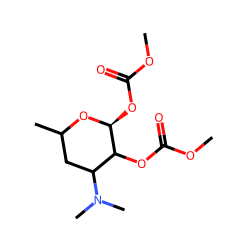 COC(=O)OC1C(N(C)C)CC(C)O[C@H]1OC(=O)OC